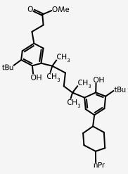 CCCC1CCC(c2cc(C(C)(C)C)c(O)c(C(C)(C)CCC(C)(C)c3cc(CCC(=O)OC)cc(C(C)(C)C)c3O)c2)CC1